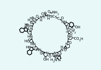 CCCC[C@H]1C(=O)N(C)[C@@H](CCCC)C(=O)N[C@@H](C)C(=O)N[C@H](C(N)=O)CSCC(=O)N[C@@H](Cc2ccc(O)cc2)C(=O)N(C)[C@@H](C)C(=O)N[C@@H](CCC(=O)O)C(=O)N2CCC[C@H]2C(=O)N[C@@H](Cc2cnc[nH]2)C(=O)N[C@@H](CCN)C(=O)N2C[C@H](O)C[C@H]2C(=O)N[C@@H](Cc2c[nH]c3ccccc23)C(=O)N[C@@H](CO)C(=O)N[C@@H](Cc2c[nH]c3ccccc23)C(=O)N1C